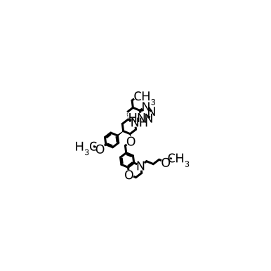 CCC(C[C@H]1C[C@H](c2ccc(OC)cc2)[C@@H](OCc2ccc3c(c2)N(CCCOC)CCO3)CN1)c1nnn[nH]1